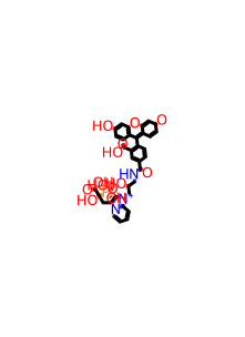 O=C(NCC(O)C[n+]1cc(CC(O)(C(=O)O)P(=O)(O)O)n2ccccc21)c1ccc(-c2c3ccc(=O)cc-3oc3cc(O)ccc23)c(C(=O)O)c1